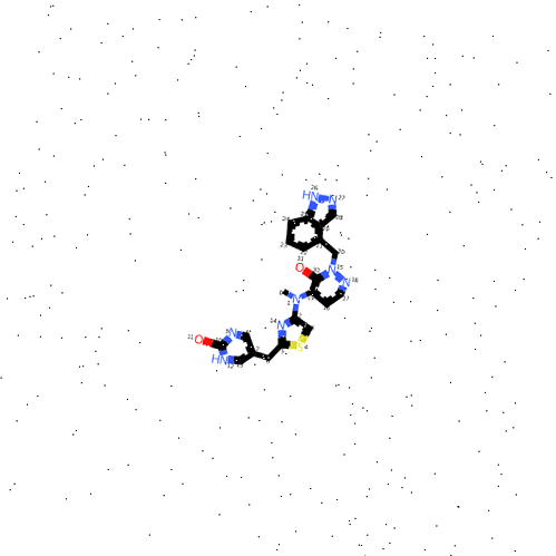 CN(c1csc(Cc2cnc(=O)[nH]c2)n1)c1ccnn(Cc2cccc3[nH]ncc23)c1=O